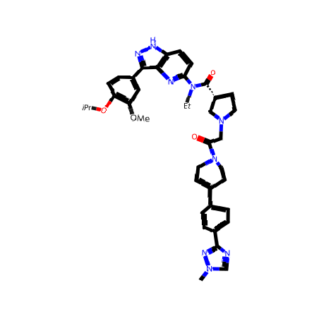 CCN(C(=O)[C@@H]1CCN(CC(=O)N2CC=C(c3ccc(-c4ncn(C)n4)cc3)CC2)C1)c1ccc2[nH]nc(-c3ccc(OC(C)C)c(OC)c3)c2n1